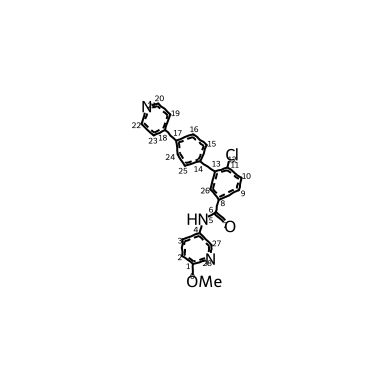 COc1ccc(NC(=O)c2ccc(Cl)c(-c3ccc(-c4ccncc4)cc3)c2)cn1